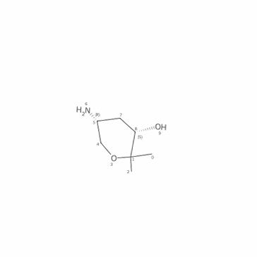 CC1(C)OC[C@H](N)C[C@@H]1O